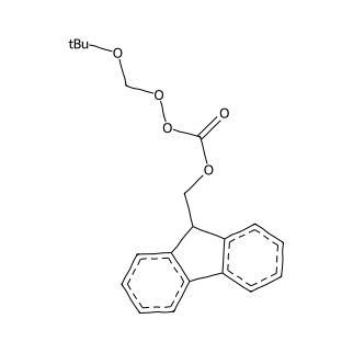 CC(C)(C)OCOOC(=O)OCC1c2ccccc2-c2ccccc21